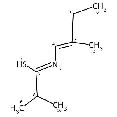 CC/C(C)=C/N=C(\S)C(C)C